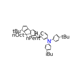 C\C=C/C(=C\C=C\c1ccc2c(c1)C(CCCCC)(CCCCCCCC)C1=C2C=CC1C(C)(C)C)N(c1ccc(C(C)CC)cc1)c1ccc(C(C)(C)C)cc1